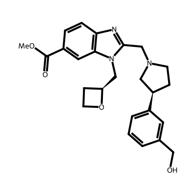 COC(=O)c1ccc2nc(CN3CC[C@@H](c4cccc(CO)c4)C3)n(C[C@@H]3CCO3)c2c1